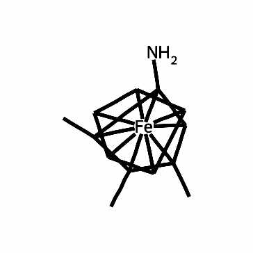 C[C]12[CH]3[C]4(N)[C]5(C)[C]1(C)[Fe]32451678[CH]2[CH]1[CH]6[CH]7[CH]28